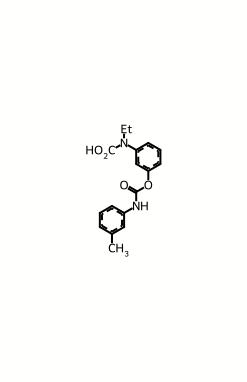 CCN(C(=O)O)c1cccc(OC(=O)Nc2cccc(C)c2)c1